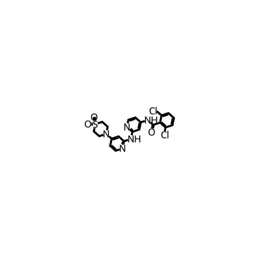 O=C(Nc1ccnc(Nc2cc(N3CCS(=O)(=O)CC3)ccn2)c1)c1c(Cl)cccc1Cl